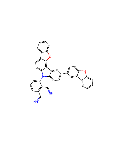 N=Cc1cccc(-n2c3ccc(-c4ccc5oc6ccccc6c5c4)cc3c3c4oc5ccccc5c4ccc32)c1C=N